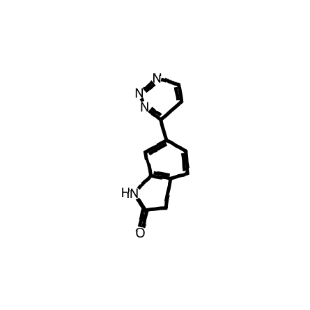 O=C1Cc2ccc(-c3ccnnn3)cc2N1